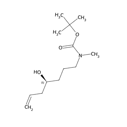 C=CC[C@@H](O)CCCN(C)C(=O)OC(C)(C)C